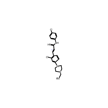 CCC(C)CN1CCN(c2ccc(/C=C/C(=N)Nc3ccc(Cl)cc3)c(Cl)c2)CC1